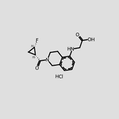 Cl.O=C(O)CNc1cccc2c1CCN(C(=O)[C@@H]1C[C@@H]1F)C2